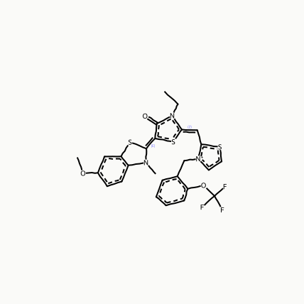 CCn1c(=O)/c(=C2\Sc3cc(OC)ccc3N2C)s/c1=C\c1scc[n+]1Cc1ccccc1OC(F)(F)F